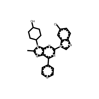 Cc1nc2c(-c3ccncc3)nc(-n3cnc4ccc(Cl)cc43)nc2n1C1CCC(O)CC1